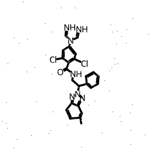 Cc1ccc2nn(C(CNC(=O)c3c(Cl)cc(N(C=N)C=N)cc3Cl)c3ccccc3)nc2c1